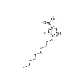 CCCCCCCCCCc1[nH]cc(C(=O)O)[n+]1C